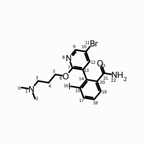 CN(C)CCCOc1ncc(Br)cc1-c1c(I)cccc1C(N)=O